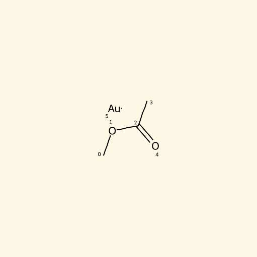 COC(C)=O.[Au]